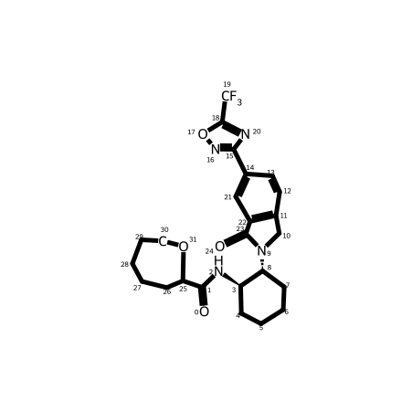 O=C(N[C@@H]1CCCC[C@H]1N1Cc2ccc(-c3noc(C(F)(F)F)n3)cc2C1=O)C1CCCCCO1